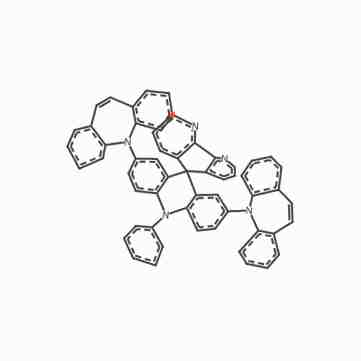 C1=Cc2ccccc2N(c2ccc3c(c2)C2(c4cc(N5c6ccccc6C=Cc6ccccc65)ccc4N3c3ccccc3)c3cccnc3-c3ncccc32)c2ccccc21